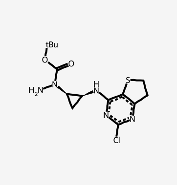 CC(C)(C)OC(=O)N(N)[C@@H]1C[C@@H]1Nc1nc(Cl)nc2c1SCC2